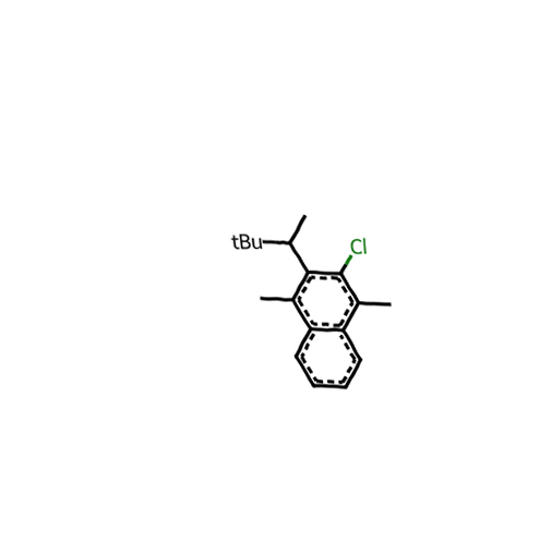 Cc1c(Cl)c(C(C)C(C)(C)C)c(C)c2ccccc12